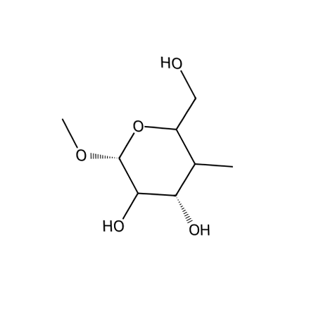 CO[C@@H]1OC(CO)C(C)[C@H](O)C1O